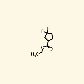 CCOC(=O)C1CCC(F)(F)C1